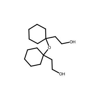 OCCC1(OC2(CCO)CCCCC2)CCCCC1